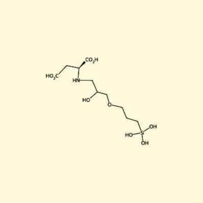 O=C(O)C[C@H](NCC(O)COCCC[Si](O)(O)O)C(=O)O